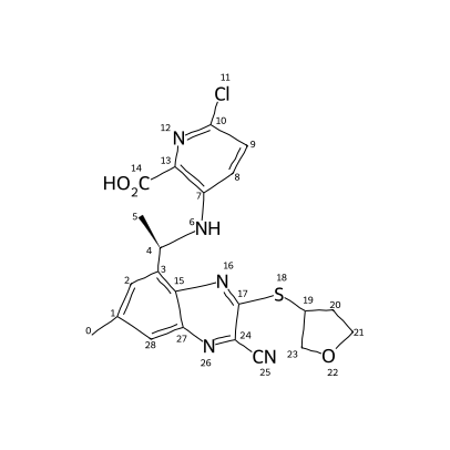 Cc1cc([C@@H](C)Nc2ccc(Cl)nc2C(=O)O)c2nc(SC3CCOC3)c(C#N)nc2c1